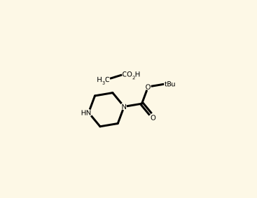 CC(=O)O.CC(C)(C)OC(=O)N1CCNCC1